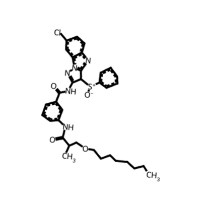 CCCCCCCCOCC(C)C(=O)Nc1cccc(C(=O)NC2=Nn3c(nc4ccc(Cl)cc43)C2[S+]([O-])c2ccccc2)c1